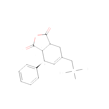 C[Si](C)(C)CC1=C[C@@H](c2ccccc2)[C@H]2C(=O)OC(=O)[C@H]2C1